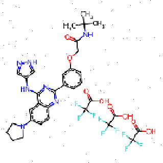 CC(C)(C)NC(=O)COc1cccc(-c2nc(Nc3cn[nH]c3)c3cc(N4CCCC4)ccc3n2)c1.O=C(O)C(F)(F)F.O=C(O)C(F)(F)F.O=C(O)C(F)(F)F